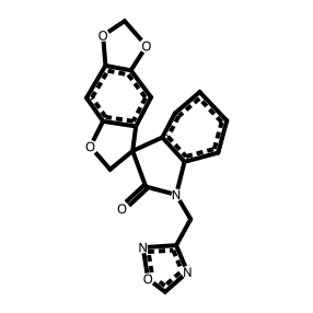 O=C1N(Cc2ncon2)c2ccccc2C12COc1cc3c(cc12)OCO3